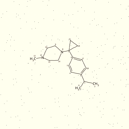 CC(C)c1ccc(C2(N3CCN(C)CC3)CC2)cc1